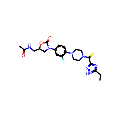 CCc1nc(C(=S)N2CCN(c3ccc(N4CC(CNC(C)=O)OC4=O)cc3F)CC2)n[nH]1